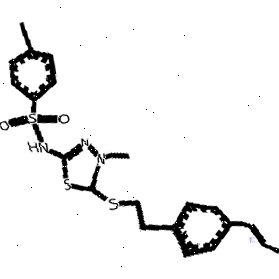 C/C=C/c1ccc(CCSC2SC(NS(=O)(=O)c3ccc(C)cc3)=NN2C)cc1